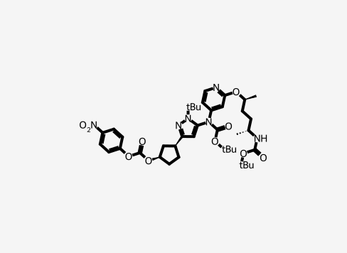 C[C@H](CC[C@H](C)Oc1cc(N(C(=O)OC(C)(C)C)c2cc([C@H]3CC[C@@H](OC(=O)Oc4ccc([N+](=O)[O-])cc4)C3)nn2C(C)(C)C)ccn1)NC(=O)OC(C)(C)C